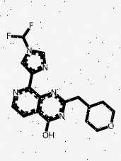 Oc1nc(CC2CCOCC2)nc2c(-c3cn(C(F)F)cn3)nccc12